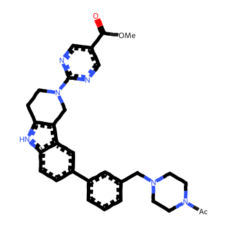 COC(=O)c1cnc(N2CCc3[nH]c4ccc(-c5cccc(CN6CCN(C(C)=O)CC6)c5)cc4c3C2)nc1